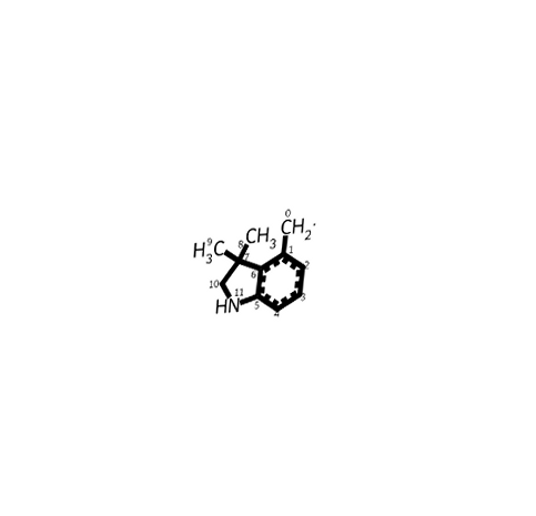 [CH2]c1cccc2c1C(C)(C)CN2